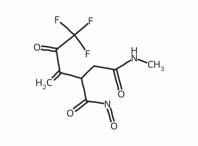 C=C(C(=O)C(F)(F)F)C(CC(=O)NC)C(=O)N=O